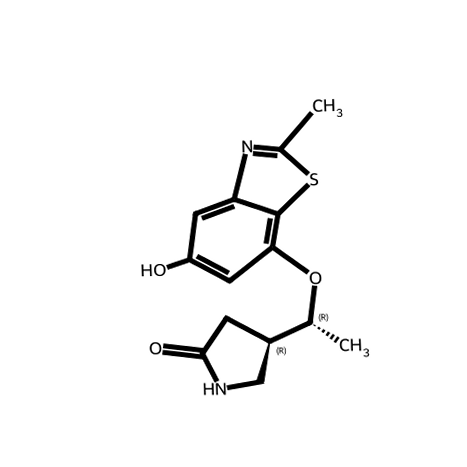 Cc1nc2cc(O)cc(O[C@H](C)[C@H]3CNC(=O)C3)c2s1